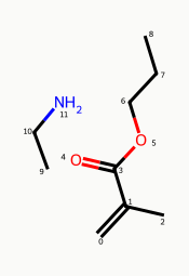 C=C(C)C(=O)OCCC.CCN